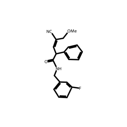 COC/C(C#N)=C\C(C(=O)NCc1cccc(F)c1)c1ccccc1